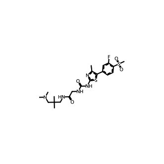 Cc1nc(NC(=O)NCC(=O)NCC(C)(C)CN(C)C)sc1-c1ccc(S(C)(=O)=O)c(F)c1